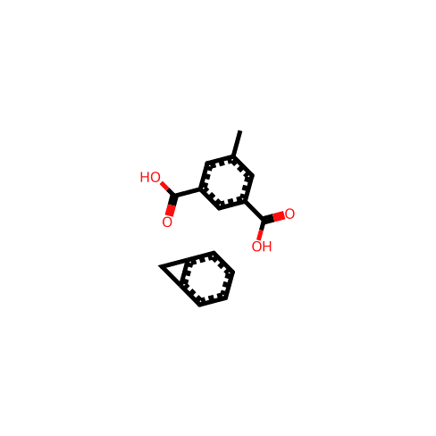 Cc1cc(C(=O)O)cc(C(=O)O)c1.c1ccc2c(c1)C2